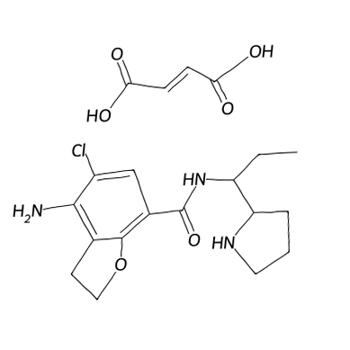 CCC(NC(=O)c1cc(Cl)c(N)c2c1OCC2)C1CCCN1.O=C(O)C=CC(=O)O